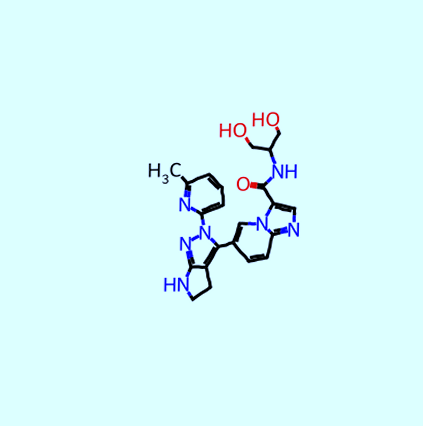 Cc1cccc(-n2nc3c(c2-c2ccc4ncc(C(=O)NC(CO)CO)n4c2)CCN3)n1